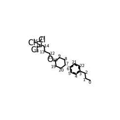 CCCc1ccc([C@H]2CC[C@H](OCCC[Si](Cl)(Cl)Cl)CC2)cc1